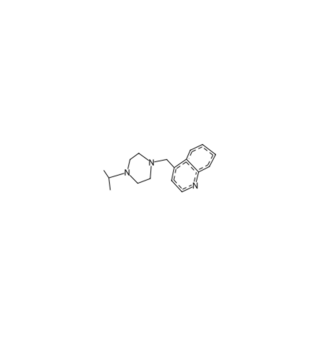 CC(C)N1CCN(Cc2ccnc3ccccc23)CC1